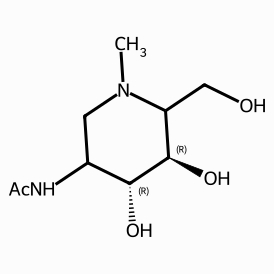 CC(=O)NC1CN(C)C(CO)[C@@H](O)[C@@H]1O